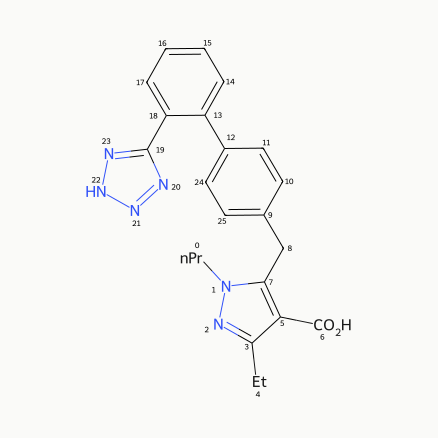 CCCn1nc(CC)c(C(=O)O)c1Cc1ccc(-c2ccccc2-c2nn[nH]n2)cc1